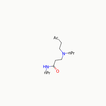 CCCNC(=O)CCN(CCC)CCC(C)=O